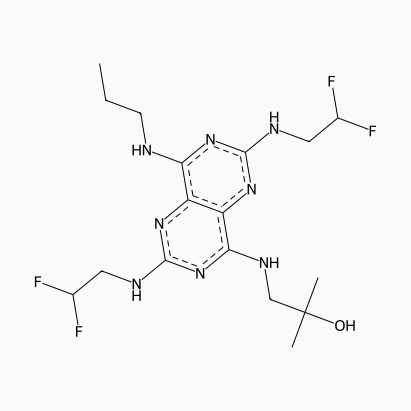 CCCNc1nc(NCC(F)F)nc2c(NCC(C)(C)O)nc(NCC(F)F)nc12